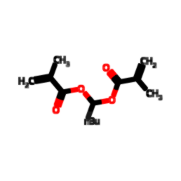 C=C(C)C(=O)OC(CCCC)OC(=O)C(=C)C